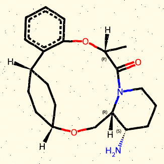 C[C@H]1Oc2ccccc2[C@H]2CC[C@H](CC2)OC[C@H]2[C@@H](N)CCCN2C1=O